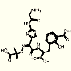 CC(C)(O/N=C(\C(=O)N[C@@H](Cc1cccc(C(=O)O)c1O)B(O)O)c1csc(NC(=O)CN)n1)C(=O)O